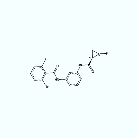 O=C(Nc1ccnc(NC(=O)[C@H]2C[C@H]2F)c1)c1c(F)cccc1Br